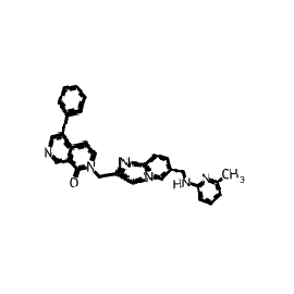 Cc1cccc(NCc2ccc3nc(Cn4ccc5c(-c6ccccc6)cncc5c4=O)cn3c2)n1